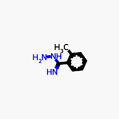 Cc1ccccc1C(=N)NN